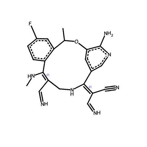 CN/C1=C(\C=N)CN/C(=C(/C#N)C=N)c2cnc(N)c(c2)OC(C)c2cc(F)ccc21